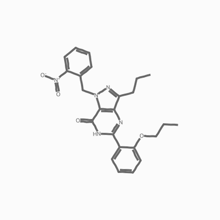 CCCOc1ccccc1-c1nc2c(CCC)nn(Cc3ccccc3[N+](=O)[O-])c2c(=O)[nH]1